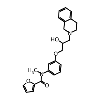 CN(C(=O)c1ccco1)c1cccc(OCC(O)CN2CCc3ccccc3C2)c1